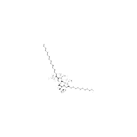 CCCCCCCCCCCCCCCC(C(CN(CCS(=O)(=O)O)C(=O)C(CCCCCCCCCCCCCC)S(=O)(=O)O)S(=O)(=O)O)S(=O)(=O)O